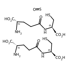 N[C@@H](CCC(=O)N[C@@H](CS)C(=O)O)C(=O)O.N[C@@H](CCC(=O)N[C@@H](CS)C(=O)O)C(=O)O.O=S